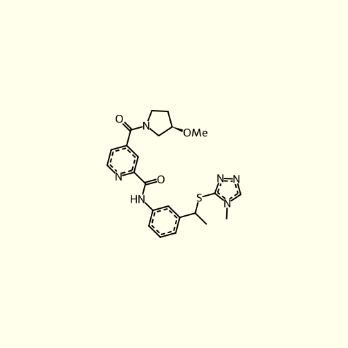 CO[C@@H]1CCN(C(=O)c2ccnc(C(=O)Nc3cccc(C(C)Sc4nncn4C)c3)c2)C1